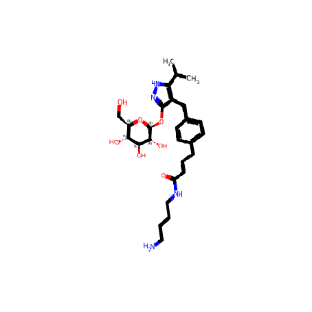 CC(C)c1[nH]nc(O[C@@H]2O[C@H](CO)[C@@H](O)[C@H](O)[C@H]2O)c1Cc1ccc(CCCC(=O)NCCCCN)cc1